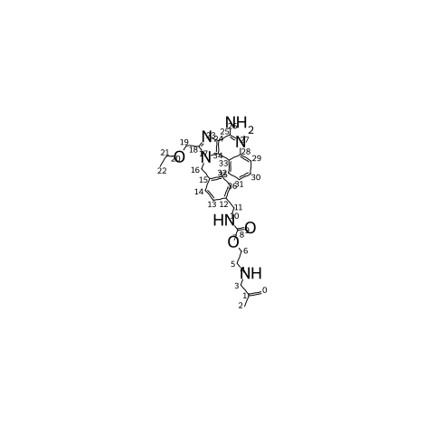 C=C(C)CNCCOC(=O)NCc1ccc(Cn2c(COCC)nc3c(N)nc4ccccc4c32)cc1